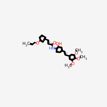 C=CCOc1cccc(/C=C/C(=O)Nc2ccc(/C=C/c3cc(OC)c(OC)c(OC)c3)cc2O)c1